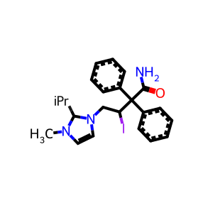 CC(C)C1N(C)C=CN1CC(I)C(C(N)=O)(c1ccccc1)c1ccccc1